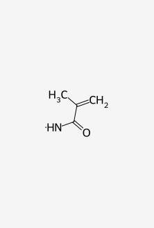 C=C(C)C([NH])=O